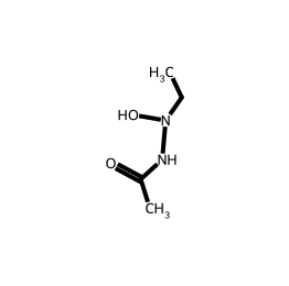 CCN(O)NC(C)=O